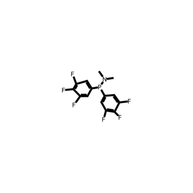 CN(C)P(c1cc(F)c(F)c(F)c1)c1cc(F)c(F)c(F)c1